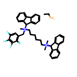 CCP.C[N+](C)(CCCCCC[N+](C)(Cc1cc(F)c(F)c(F)c1F)C1c2ccccc2-c2ccccc21)C1c2ccccc2-c2ccccc21